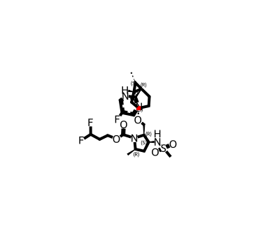 C[C@@H]1C[C@H](NS(C)(=O)=O)[C@H](CO[C@H]2CC[C@]3(c4ncc(F)cn4)[C@H](C2)[C@@H]3C)N1C(=O)OCCC(F)F